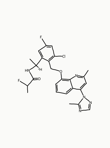 [2H]C(C)(NC(=O)C(C)F)c1cc(F)cc(Cl)c1COc1cccc2c(-n3ncnc3C)cc(C)nc12